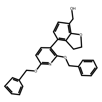 OCc1ccc(-c2ccc(OCc3ccccc3)nc2OCc2ccccc2)c2c1OCC2